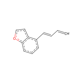 [CH]=CC=Cc1cccc2occc12